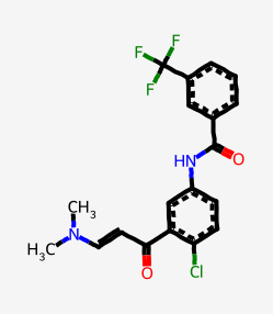 CN(C)/C=C/C(=O)c1cc(NC(=O)c2cccc(C(F)(F)F)c2)ccc1Cl